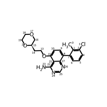 Cc1c(Cl)cccc1-c1ccc(OCC[C@@H]2COCCO2)c2c(N)ncnc12